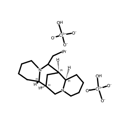 CC(C)CC1[C@@H]2C[C@@H](CN3CCCC[C@H]23)[C@@H]2CCCCN12.[O-][Cl+3]([O-])([O-])O.[O-][Cl+3]([O-])([O-])O